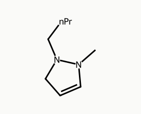 CCCCN1CC=CN1C